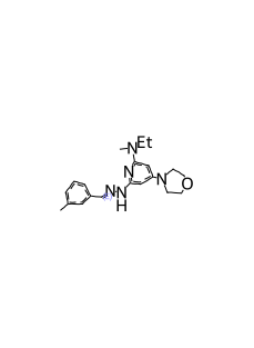 CCN(C)c1cc(N2CCOCC2)cc(N/N=C/c2cccc(C)c2)n1